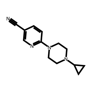 N#Cc1ccc(N2CCN(C3CC3)CC2)nc1